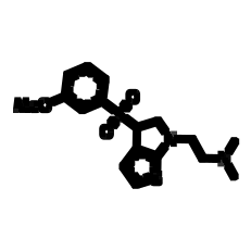 COc1cccc(S(=O)(=O)C2CN(CCN(C)C)c3sccc32)c1